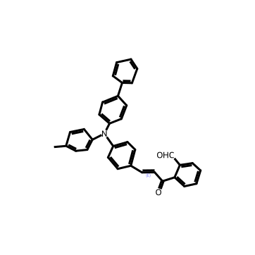 Cc1ccc(N(c2ccc(/C=C/C(=O)c3ccccc3C=O)cc2)c2ccc(-c3ccccc3)cc2)cc1